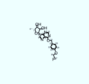 C[C@H]1O[C@@H](n2cnc3c(OCc4ccc(OCCF)cc4)ncnc32)[C@H](O)[C@@H]1O